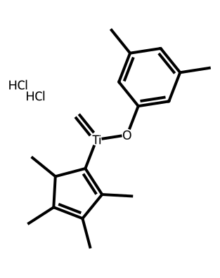 Cl.Cl.[CH2]=[Ti]([O]c1cc(C)cc(C)c1)[C]1=C(C)C(C)=C(C)C1C